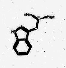 CCCCCCC[C@@H](CCCCCC)Cc1c[nH]c2ccccc12